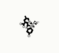 Cc1cnc(-c2nc3cc(Cl)ccc3n2S(=O)(=O)N(C)C)c(C(=O)[O-])c1.[K+]